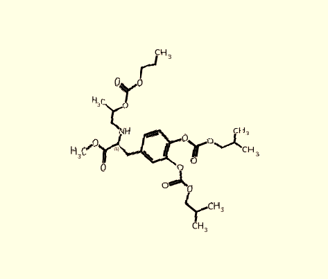 CCCOC(=O)OC(C)CN[C@@H](Cc1ccc(OC(=O)OCC(C)C)c(OC(=O)OCC(C)C)c1)C(=O)OC